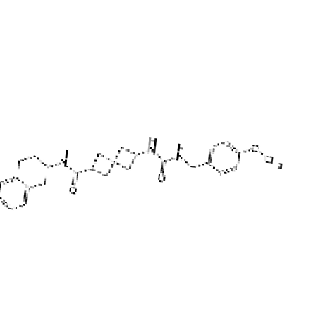 COc1ccc(CNC(=O)NC2CC3(C2)CC(C(=O)NC2CCc4ccccc4C2)C3)cc1